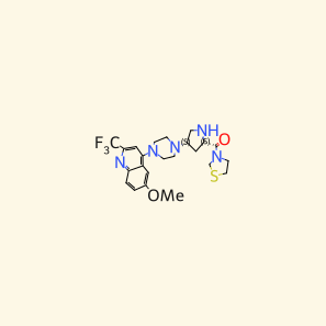 COc1ccc2nc(C(F)(F)F)cc(N3CCN([C@@H]4CN[C@H](C(=O)N5CCSC5)C4)CC3)c2c1